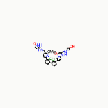 COc1nc(-c2cccc(-c3cccc(-c4ccc5nc(CNC6CC(O)C6)cc(=O)n5c4)c3Cl)c2Cl)ccc1CNC[C@@H]1CCC(=O)N1